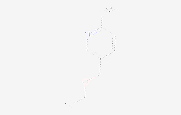 COc1ccc(COCC(C)=O)cn1